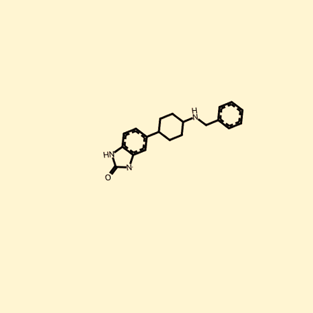 O=C1[N]c2cc(C3CCC(NCc4ccccc4)CC3)ccc2N1